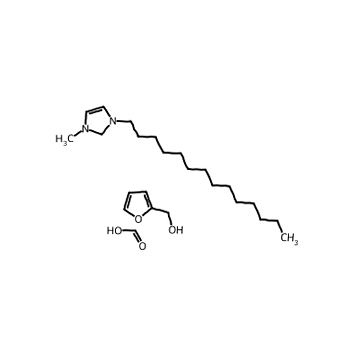 CCCCCCCCCCCCCCN1C=CN(C)C1.O=CO.OCc1ccco1